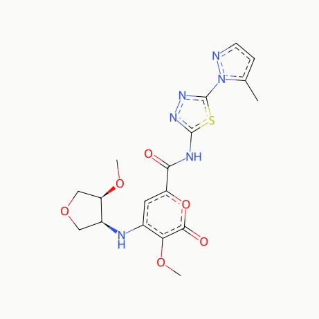 COc1c(N[C@H]2COC[C@H]2OC)cc(C(=O)Nc2nnc(-n3nccc3C)s2)oc1=O